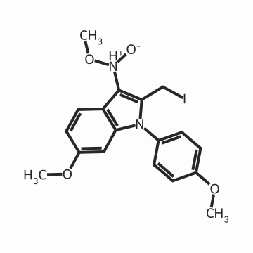 COc1ccc(-n2c(CI)c([NH+]([O-])OC)c3ccc(OC)cc32)cc1